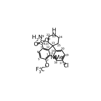 CNc1c(OC(F)(F)F)ccc(S(N)(=O)=O)c1C1(c2ccc(Cl)cc2)CCNCC1